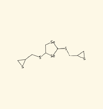 C1SC1CSC1C[Se]C(SCC2CS2)[Se]1